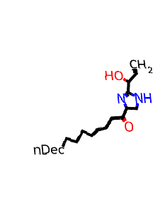 C=CC(O)C1=NC(C(=O)CCCCCCCCCCCCCCCCC)CN1